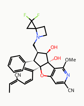 C=C(/C=C\C(C#N)=C/C)[C@@]12Oc3cc(C#N)nc(OC)c3[C@]1(O)[C@H](O)[C@H](CN1CCC13CC3(F)F)[C@H]2c1ccccc1